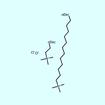 CCCCCCCCCCCCCCCCCCCCCC[N+](C)(C)C.CCCCCCCCCCCC[N+](C)(C)C.[Cl-].[Cl-]